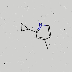 Cc1[c]c(C2CC2)ncc1